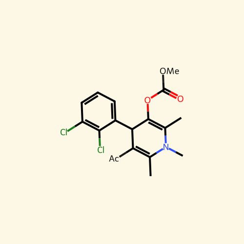 COC(=O)OC1=C(C)N(C)C(C)=C(C(C)=O)C1c1cccc(Cl)c1Cl